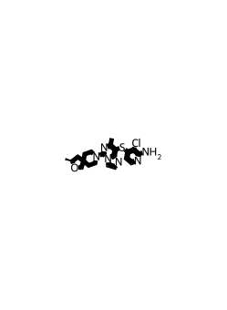 Cc1nc(N2CCC3(CC2)CO[C@@H](C)C3)n2ccnc2c1Sc1ccnc(N)c1Cl